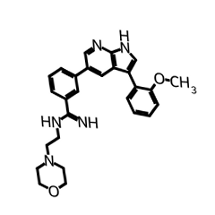 COc1ccccc1-c1c[nH]c2ncc(-c3cccc(C(=N)NCCN4CCOCC4)c3)cc12